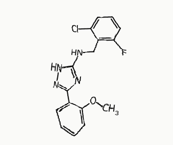 COc1ccccc1-c1n[nH]c(NCc2c(F)cccc2Cl)n1